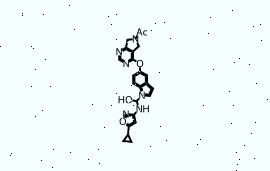 CC(=O)N1Cc2ncnc(Oc3ccc4c(ccn4C(O)Nc4cc(C5CC5)on4)c3)c2C1